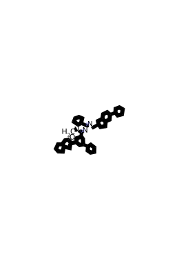 C=N/C(=N\C(=N/Cc1ccc2cc(-c3ccccc3)ccc2c1)c1ccccc1)c1cc(-c2ccccc2)cc2c1oc1cc3ccccc3cc12